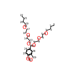 CCCCOCCOCCOC(OCCOCCOCCCC)c1ccc2c(c1)COO2